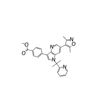 COC(=O)c1ccc(-c2cn(C(C)(C)c3ccccn3)c3cc(-c4c(C)noc4C)cnc23)cc1